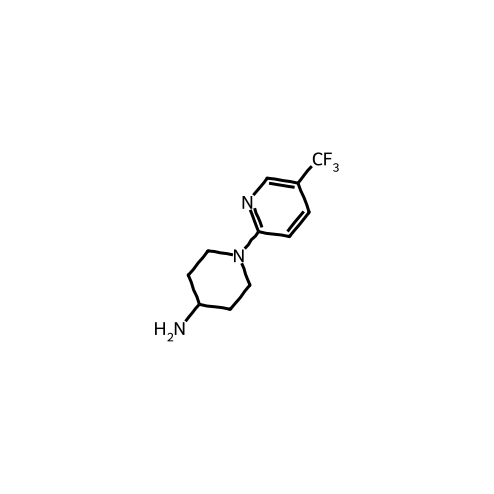 NC1CCN(c2ccc(C(F)(F)F)cn2)CC1